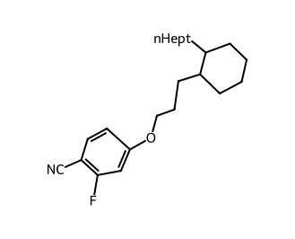 CCCCCCCC1CCCCC1CCCOc1ccc(C#N)c(F)c1